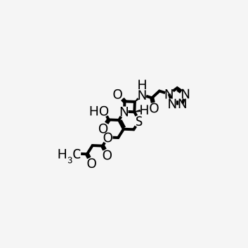 CC(=O)CC(=O)OCC1=C(C(=O)O)N2C(=O)[C@@H](NC(=O)Cn3cnnn3)[C@@H]2SC1